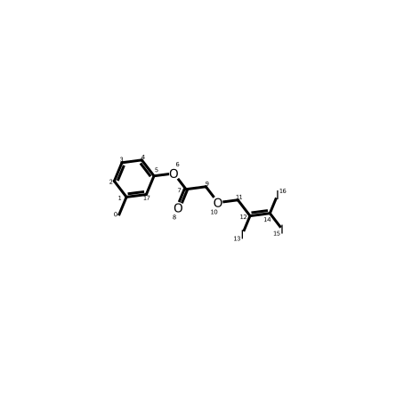 Cc1cccc(OC(=O)COCC(I)=C(I)I)c1